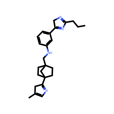 CCCC1=NCC(c2cccc(NCC34CCC(C5=NC=C(C)C5)(CC3)C4)c2)=N1